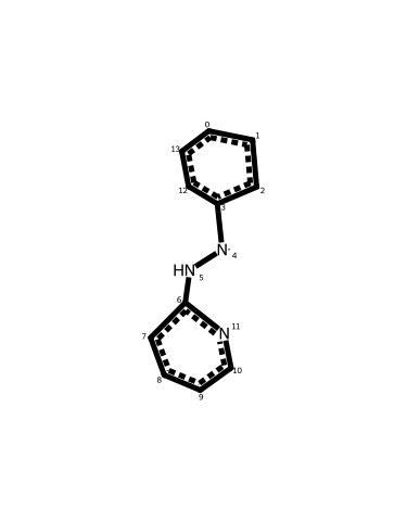 c1ccc([N]Nc2ccccn2)cc1